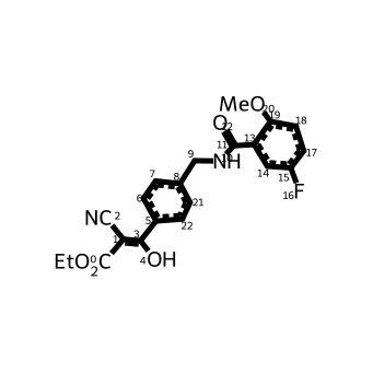 CCOC(=O)C(C#N)=C(O)c1ccc(CNC(=O)c2cc(F)ccc2OC)cc1